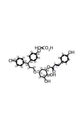 O=C(/C=C/c1ccc(O)cc1)O[C@@H]1C[C@@H](OCCC(c2ccc(Cl)cc2)c2ccc(Cl)cc2)C[C@H](O)[C@H]1O.O=C(O)O